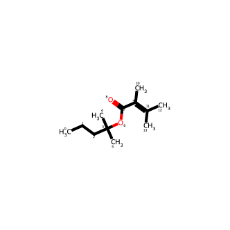 CCCC(C)(C)OC(=O)C(C)=C(C)C